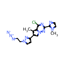 Cc1c(-c2ccn(CCN=[N+]=[N-])n2)cn2nc(-c3nccn3C)nc(Cl)c12